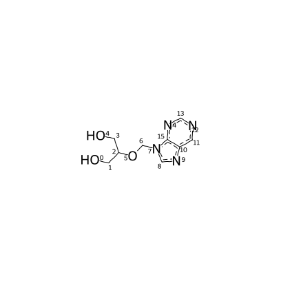 OCC(CO)OCn1cnc2cncnc21